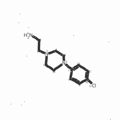 NCCN1CCN(c2ccc(Cl)cc2)CC1